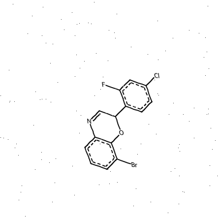 Fc1cc(Cl)ccc1C1C=Nc2cccc(Br)c2O1